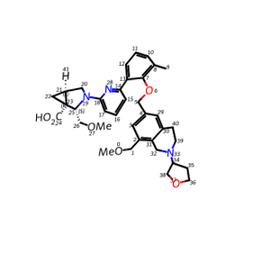 COCc1cc(COc2c(C)cccc2-c2cccc(N3C[C@@H]4C[C@]4(C(=O)O)[C@H]3COC)n2)cc2c1CN(C1CCOC1)CC2